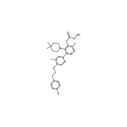 Cc1cc(-c2cnc(C)c(CC(=O)OC(C)C)c2N2CCC(C)(C)CC2)ncc1OCCc1ccc(F)cc1